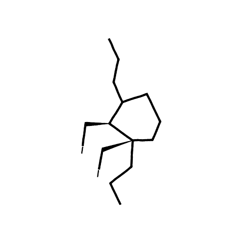 CCCC1CCC[C@](CI)(CCC)[C@H]1CI